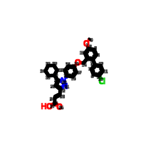 COc1ccc(-c2ccc(Cl)cc2)c(COc2ccc(-n3nc(/C=C/C(=O)O)cc3C3CCCCC3)cc2)c1